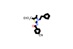 CCOC(=O)C1SC(=NC(=O)c2ccc(C#N)cc2)N(CCc2ccccc2)C1C